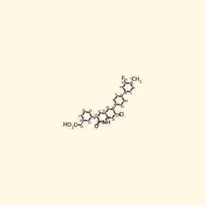 Cc1ccc(-c2ccc(-c3cc4cc(-c5cccc(CC(=O)O)c5)c(=O)[nH]c4cc3Cl)cc2)cc1F